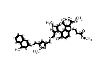 CCc1c(C(=O)OC)n(CCC(=O)OC)c2ccc(Cl)c(-c3c(CSCc4cc(CSc5cc(O)c6ccccc6c5)n(C)n4)nn(C)c3C)c12